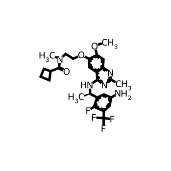 COc1cc2nc(C)nc(N[C@H](C)c3cc(N)cc(C(F)(F)F)c3F)c2cc1OCCN(C)C(=O)C1CCC1